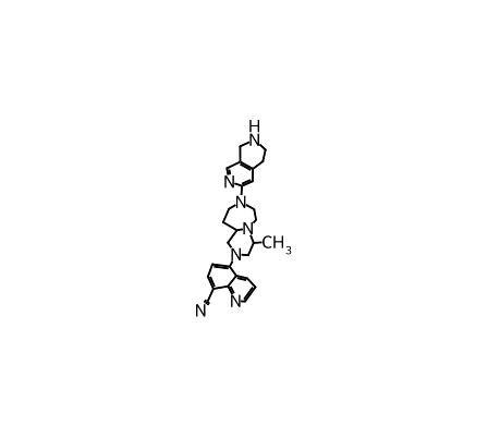 CC1CN(c2ccc(C#N)c3ncccc23)CC2CCN(c3cc4c(cn3)CNCC4)CCN12